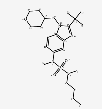 CCCCN(C)S(=O)(=O)N(C)c1ccc2c(c1)nc(C(C)(C)C)n2CC1CCOCC1